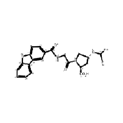 O=C(NCC(=O)N1C[C@H](OC(F)F)C[C@H]1C(=O)O)c1ccc2sc3ccccc3c2c1